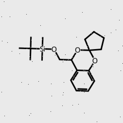 CC(C)(C)[Si](C)(C)OCC1OC2(CCCC2)Oc2ccccc21